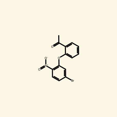 CC(=O)c1ccccc1Oc1cc(Br)ccc1[N+](=O)[O-]